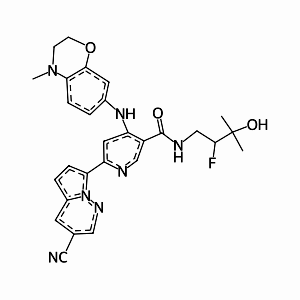 CN1CCOc2cc(Nc3cc(-c4ccc5cc(C#N)cnn45)ncc3C(=O)NCC(F)C(C)(C)O)ccc21